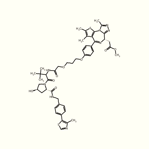 COC(=O)C[C@@H]1N=C(c2ccc(OCCCOCC(=O)NC(C(=O)N3C[C@H](O)C[C@H]3C(=O)NCc3ccc(-c4scnc4C)cc3)C(C)(C)C)cc2)c2c(sc(C)c2C)-n2c(C)nnc21